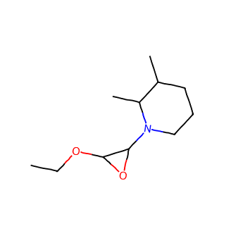 CCOC1OC1N1CCCC(C)C1C